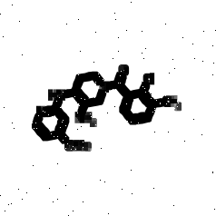 COc1ccnc(NC2=C(N)CN(C(=O)c3cccc(C(F)(F)F)c3Cl)CC2)c1